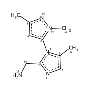 Cc1[c]c(-n2c(C)cnc2CN)n(C)n1